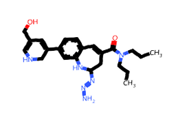 CCCN(CCC)C(=O)C1=Cc2ccc(C3=CC(CO)=CNC3)cc2NC(N=NN)C1